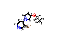 CC(C)(C)[Si](C)(C)OC1CCN(c2ccncc2Br)C1